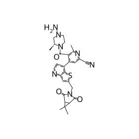 Cc1nc(C#N)cc(-c2ccnc3cc(CN4C(=O)C5C(C4=O)C5(C)C)sc23)c1C(=O)N1CCN(N)C[C@@H]1C